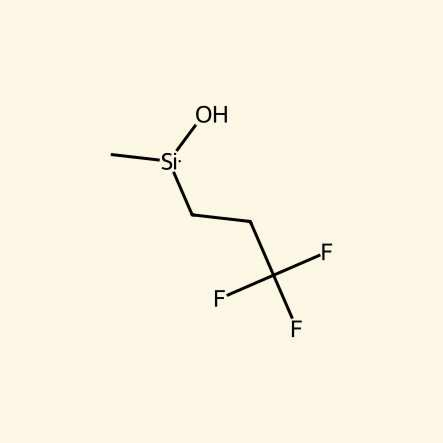 C[Si](O)CCC(F)(F)F